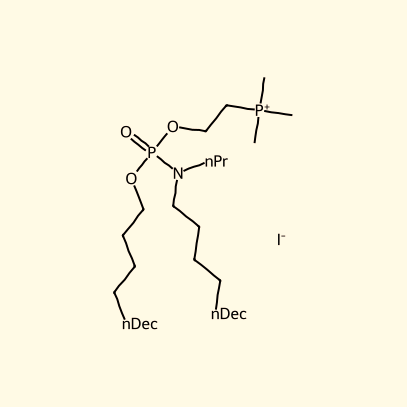 CCCCCCCCCCCCCCOP(=O)(OCC[P+](C)(C)C)N(CCC)CCCCCCCCCCCCCC.[I-]